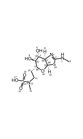 CNC1=N[C@@H]2[C@@H](O)[C@H](O)[C@@H](CCN(C)S(=O)(=O)O)O[C@@H]2S1